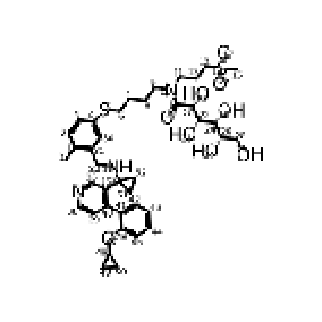 Cc1ccc(SCCCCN(CCCS(C)(=O)=O)C(=O)[C@@H](O)[C@@H](O)[C@H](O)[C@@H](O)CO)cc1CNC1(c2cnccc2-c2ccccc2OC2CC2)CC1